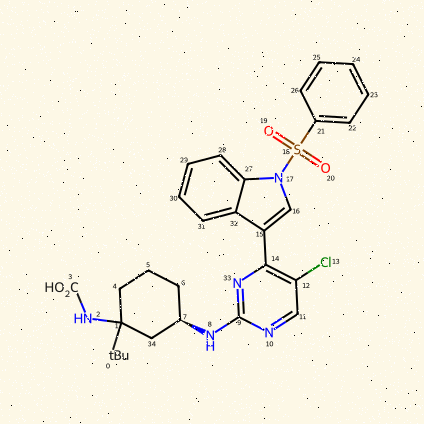 CC(C)(C)C1(NC(=O)O)CCC[C@@H](Nc2ncc(Cl)c(-c3cn(S(=O)(=O)c4ccccc4)c4ccccc34)n2)C1